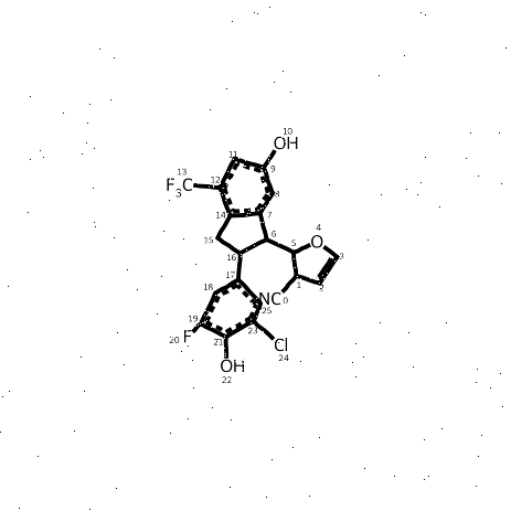 N#CC1C=COC1C1c2cc(O)cc(C(F)(F)F)c2CC1c1cc(F)c(O)c(Cl)c1